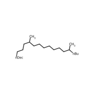 CCCCCCCCCCCCCC(C)CCCCCCCC(C)CCCC